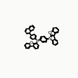 c1ccc2c(-c3ccc(N(c4ccc(-n5c6ccccc6c6c7ccccc7oc65)cc4)c4cccc5c4oc4ccccc45)cc3)cccc2c1